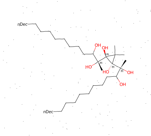 CCCCCCCCCCCCCCCCCCC(O)[C@@](C)(O)[C@]1(O)C(C)(C)[C@@]1(O)[C@](C)(O)C(O)CCCCCCCCCCCCCCCCCC